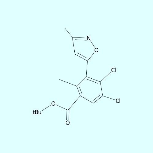 Cc1cc(-c2c(C)c(C(=O)OC(C)(C)C)cc(Cl)c2Cl)on1